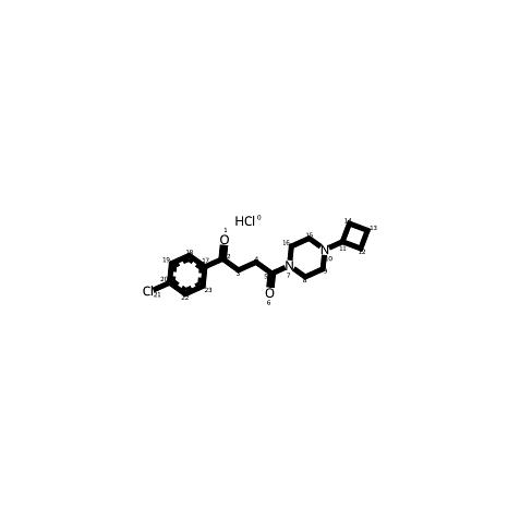 Cl.O=C(CCC(=O)N1CCN(C2CCC2)CC1)c1ccc(Cl)cc1